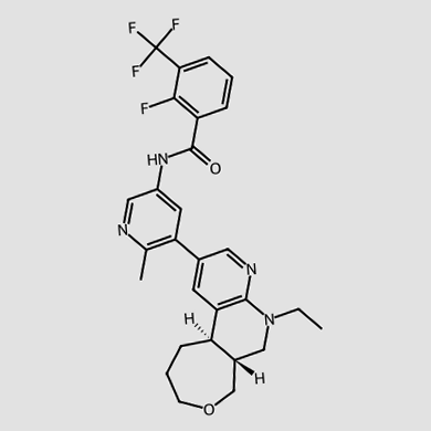 CCN1C[C@@H]2COCCC[C@H]2c2cc(-c3cc(NC(=O)c4cccc(C(F)(F)F)c4F)cnc3C)cnc21